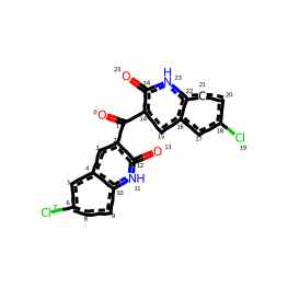 O=C(c1cc2cc(Cl)ccc2[nH]c1=O)c1cc2cc(Cl)ccc2[nH]c1=O